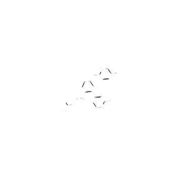 CCc1nccc(-c2cc(Oc3ccc(C(F)(F)F)cn3)ccc2CCCC(N)=O)c1Cl